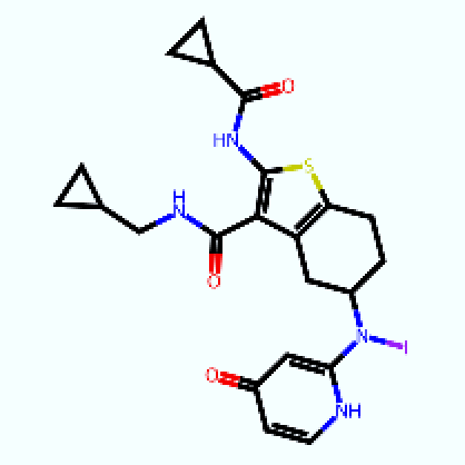 O=C(NCC1CC1)c1c(NC(=O)C2CC2)sc2c1CC(N(I)c1cc(=O)cc[nH]1)CC2